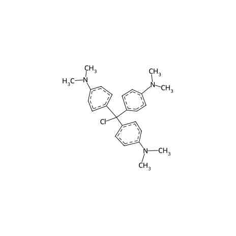 CN(C)c1ccc(C(Cl)(c2ccc(N(C)C)cc2)c2ccc(N(C)C)cc2)cc1